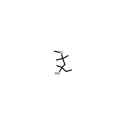 CCC(C)(O)CC(C)(C)OC